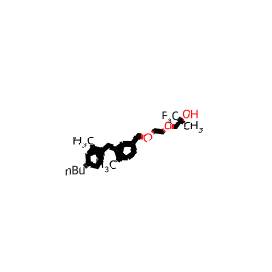 CCCCC1CC2CC1C(C)C2CC1C(C)C2CC(COCCOCC(C)(O)C(F)(F)F)C1C2